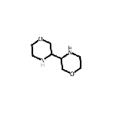 C1COCC(C2COCCN2)N1